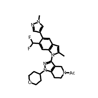 CC(=O)N1CCc2c(c(-n3c(C)cc4cc(-c5cnn(C)c5)c(C(F)F)cc43)nn2C2CCOCC2)C1